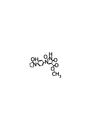 CCOC(=O)c1cn(-c2ccc(N3CCCC3O)cc2)c(=O)[nH]c1=O